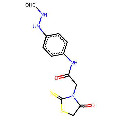 O=CNNc1ccc(NC(=O)CN2C(=O)CSC2=S)cc1